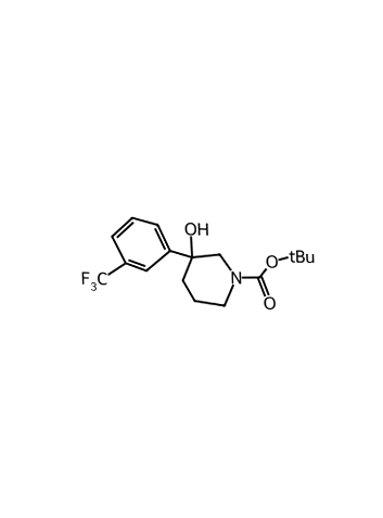 CC(C)(C)OC(=O)N1CCCC(O)(c2cccc(C(F)(F)F)c2)C1